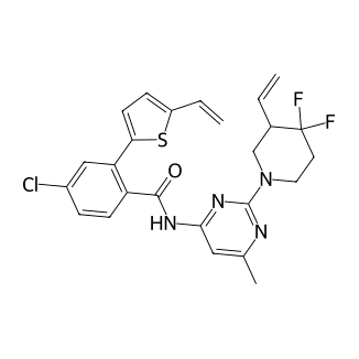 C=Cc1ccc(-c2cc(Cl)ccc2C(=O)Nc2cc(C)nc(N3CCC(F)(F)C(C=C)C3)n2)s1